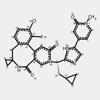 Cn1ccc(-c2cnc([C@H](CC3CC3)n3cc4c(cc3=O)-c3c(ccc(Cl)c3F)CC3(CC3)NC4=O)[nH]2)cc1=O